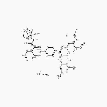 CC(C)Oc1cc([C@H](Cc2c(Cl)c[n+](O)cc2Cl)OC(=O)c2ccc(CNC(C(=O)O[C@H]3CN4CCC3CC4)c3ccccc3F)cc2)ccc1OC(F)F.O=C[O-]